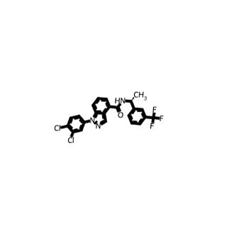 C[C@@H](NC(=O)c1cccc2c1cnn2-c1ccc(Cl)c(Cl)c1)c1cccc(C(F)(F)F)c1